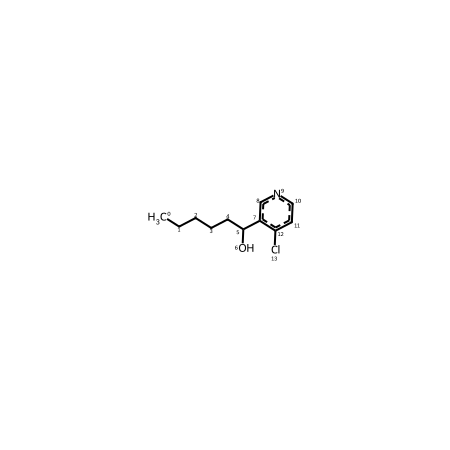 CCCCCC(O)c1cnccc1Cl